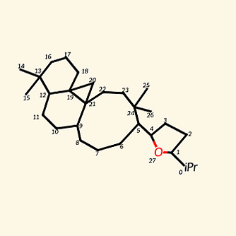 CC(C)C1CCC(C2CCCC3CCC4C(C)(C)CCCC45CC35CCC2(C)C)O1